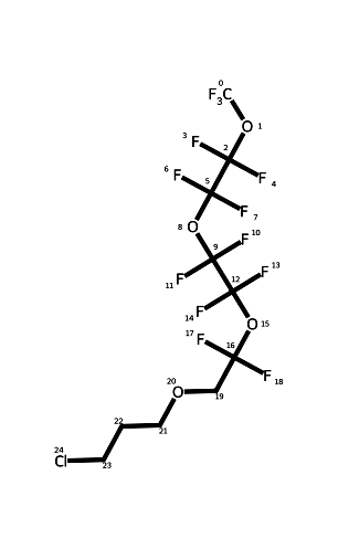 FC(F)(F)OC(F)(F)C(F)(F)OC(F)(F)C(F)(F)OC(F)(F)COCCCCl